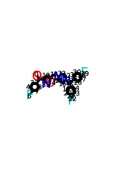 O=C(c1ccc(F)cc1)c1cc(CN2CCN(C(c3ccc(F)cc3)c3ccc(F)cc3)CC2)on1